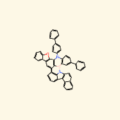 c1ccc(-c2ccc(N3c4ccc(-c5ccccc5)cc4B4c5c(cc6c(oc7ccccc76)c53)-c3cccc5c6c7ccccc7ccc6n4c35)cc2)cc1